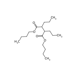 CCCCOC(=O)C(CCC)C(CCC)C(=O)OCCCC